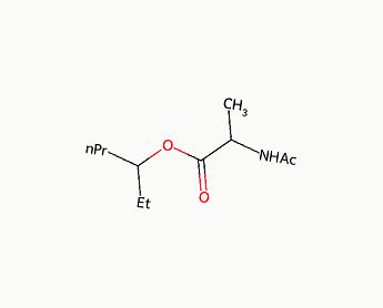 CCCC(CC)OC(=O)C(C)NC(C)=O